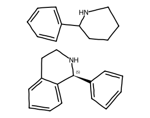 c1ccc(C2CCCCN2)cc1.c1ccc([C@@H]2NCCc3ccccc32)cc1